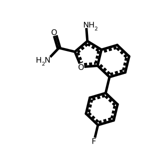 NC(=O)c1oc2c(-c3ccc(F)cc3)cccc2c1N